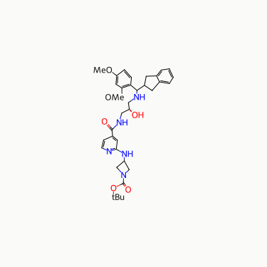 COc1ccc(C(NC[C@@H](O)CNC(=O)c2ccnc(NC3CN(C(=O)OC(C)(C)C)C3)c2)C2Cc3ccccc3C2)c(OC)c1